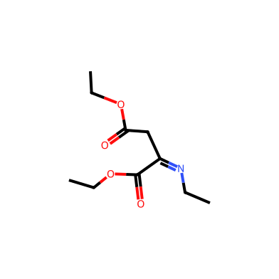 CCN=C(CC(=O)OCC)C(=O)OCC